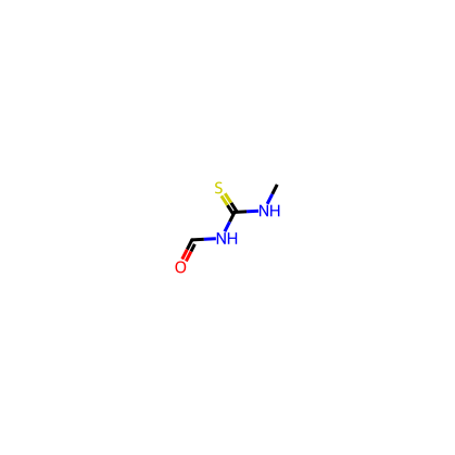 CNC(=S)NC=O